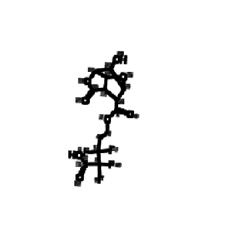 O=C(OCCC(F)(F)C(F)(F)S(=O)O)C1C2OC3C(OC(=O)C31)C2O